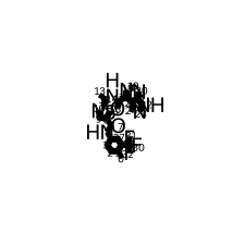 Cc1ccc(NC(=O)c2cnc(C(C)NC(=O)c3ncnc4[nH]ncc34)s2)cc1C(F)(F)F